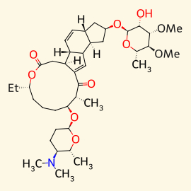 CC[C@H]1CCC[C@H](O[C@@H]2CC[C@H](N(C)C)[C@@H](C)O2)[C@@H](C)C(=O)C2=CC3[C@@H](C=C[C@@H]4C[C@@H](O[C@@H]5O[C@@H](C)[C@H](OC)[C@@H](OC)[C@H]5O)C[C@@H]34)[C@@H]2CC(=O)O1